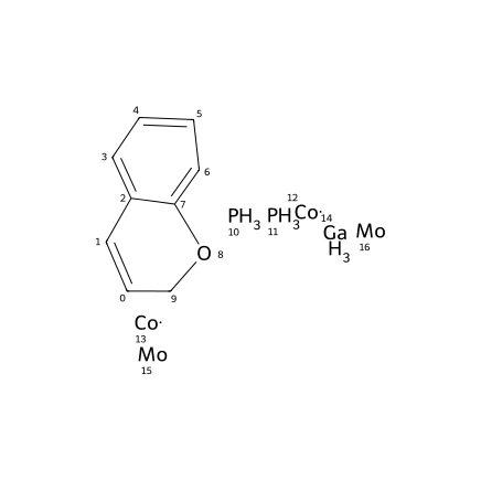 C1=Cc2ccccc2OC1.P.P.[Co].[Co].[GaH3].[Mo].[Mo]